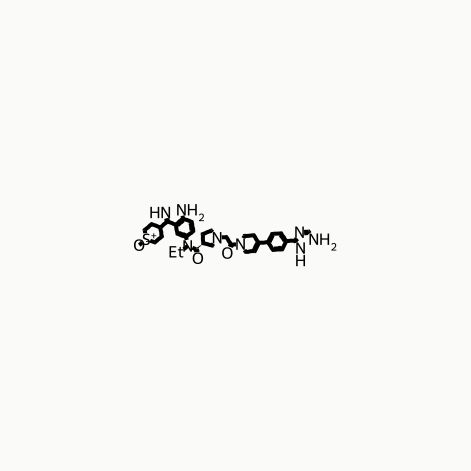 CCN(C(=O)[C@@H]1CCN(CC(=O)N2CC=C(c3ccc(C(=N)/N=C\N)cc3)CC2)C1)c1ccc(N)c(C(=N)C2CC[S+]([O-])CC2)c1